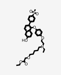 CCOC(=O)COCCCCCN(CC)CCOc1ccc(Oc2c(-c3ccc(S(C)(=O)=O)cc3)ccc3cc(O)ccc23)cc1